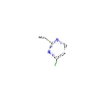 CSc1nccc(F)n1